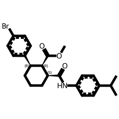 COC(=O)[C@H]1[C@@H](C(=O)Nc2ccc(C(C)C)cc2)CCC[C@H]1c1ccc(Br)cc1